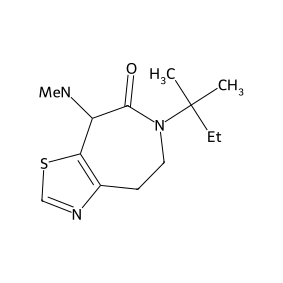 CCC(C)(C)N1CCc2ncsc2C(NC)C1=O